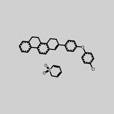 Clc1ccc(Oc2ccc(C3=Cc4ccc5c(c4CC3)CCc3ccccc3-5)cc2)cc1.O=S1(=O)C=CC=CC1